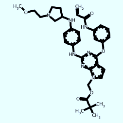 C=CC(=O)Nc1cccc(Oc2nc(Nc3ccc(NC4CCN(CCOC)C4)cc3)nc3c2ccn3COC(=O)C(C)(C)C)c1